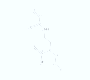 C=CC(=O)NCCC(CCC)C(=O)O